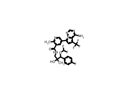 Cc1ncc(-c2cc(C(F)(F)F)c3c(N)ncnn23)cc1C(=O)NCC(C)(O)C(OC(F)F)c1ccc(F)cc1